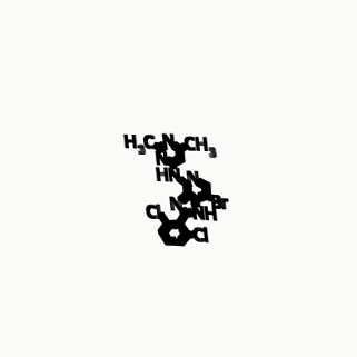 Cc1cc(Nc2ncc(Br)c3[nH]c(-c4c(Cl)cccc4Cl)nc23)nc(C)n1